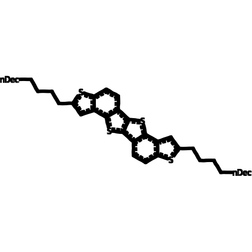 CCCCCCCCCCCCCCc1cc2c(ccc3c2sc2c4ccc5sc(CCCCCCCCCCCCCC)cc5c4sc32)s1